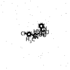 Cn1nc(CNc2c([N+](=O)[O-])c(Cl)nc3ccccc23)cc1-c1ccc(Cl)cc1